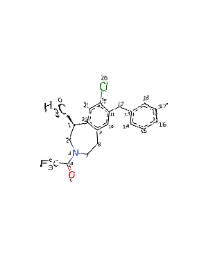 C[C@@H]1CN(C(=O)C(F)(F)F)CCc2cc(Cc3ccccc3)c(Cl)cc21